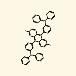 Cc1ccc2c(-c3cccc(N(c4ccccc4)C4C=CC=CC4)c3)c3cc(C)ccc3c(-c3cccc(N(c4ccccc4)c4ccccc4)c3)c2c1